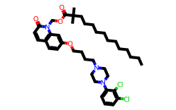 CCCCCCCCCCCCC(C)(C)C(=O)OCn1c(=O)ccc2ccc(OCCCCN3CCN(c4cccc(Cl)c4Cl)CC3)cc21